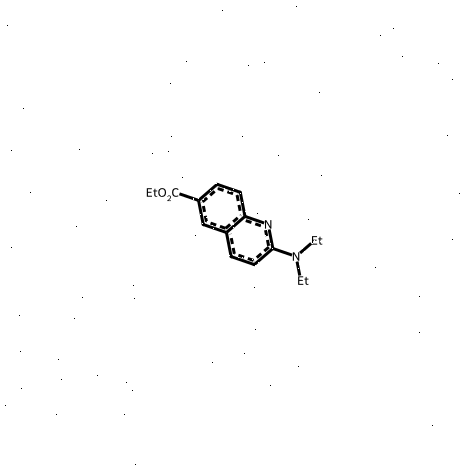 CCOC(=O)c1ccc2nc(N(CC)CC)ccc2c1